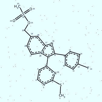 CSc1nccc(-c2c(-c3ccc(F)cc3)nc3cc(COS(C)(=O)=O)ccn23)n1